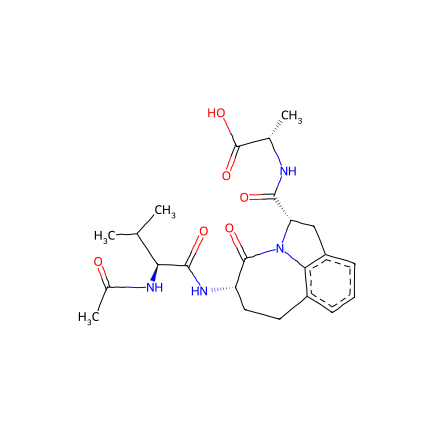 CC(=O)N[C@H](C(=O)N[C@H]1CCc2cccc3c2N(C1=O)[C@H](C(=O)N[C@@H](C)C(=O)O)C3)C(C)C